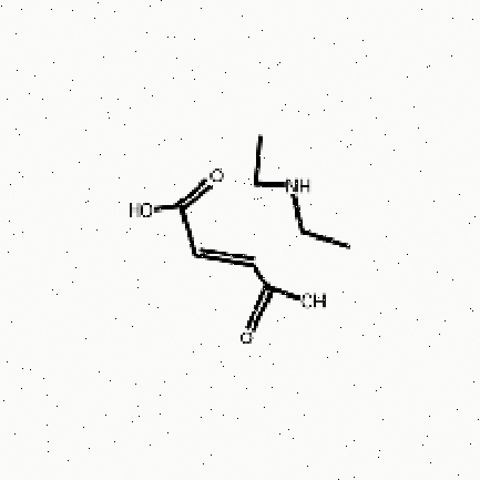 CCNCC.O=C(O)C=CC(=O)O